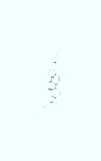 CCCCC(=O)O[C@H]1CC[C@H]2[C@@H]3CC=C4c5sc(NC(C)=O)nc5CC[C@]4(C)[C@H]3CC[C@]12C